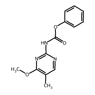 COc1nc(NC(=O)Oc2ccccc2)ncc1C